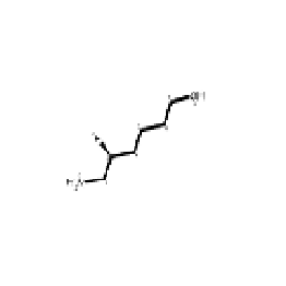 NC[C@@H](F)CCCCO